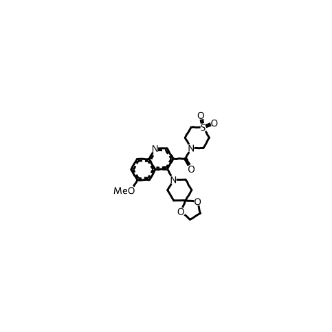 COc1ccc2ncc(C(=O)N3CCS(=O)(=O)CC3)c(N3CCC4(CC3)OCCO4)c2c1